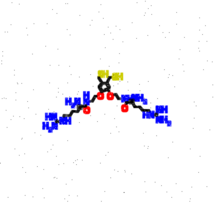 N=C(N)NCCCC[C@H](N)C(=O)NCCOc1cc(CS)c(CS)cc1OCCNC(=O)[C@@H](N)CCCCNC(=N)N